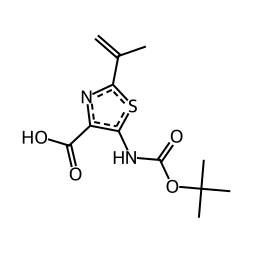 C=C(C)c1nc(C(=O)O)c(NC(=O)OC(C)(C)C)s1